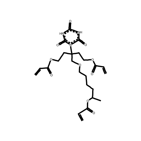 C=CC(=O)OCCC(CCOC(=O)C=C)(COCCCCC(C)OC(=O)C=C)n1c(=O)[nH]c(=O)[nH]c1=O